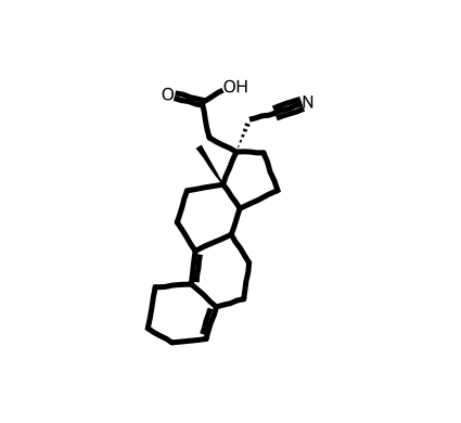 C[C@]12CCC3=C4CCCC=C4CCC3C1CC[C@]2(CC#N)CC(=O)O